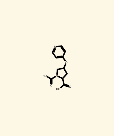 O=C(O)C1CC(Oc2ccncc2)CN1C(=O)O